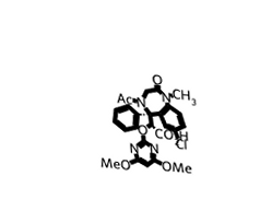 COc1cc(OC)nc(O[C@H](C(=O)O)[C@]2(c3ccccc3)c3cc(Cl)ccc3N(C)C(=O)CN2C(C)=O)n1